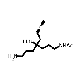 C=C=CCC(N)(CCCN)CCCNC(C)=O